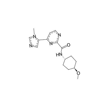 CO[C@H]1CC[C@H](NC(=O)c2nccc(-c3cncn3C)n2)CC1